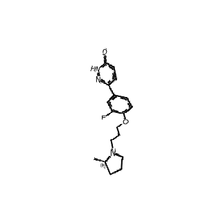 C[C@@H]1CCCN1CCCOc1ccc(-c2ccc(=O)[nH]n2)cc1F